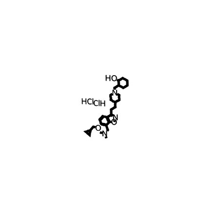 CN(C)Cc1c(OCC2CC2)ccc2c(CCC3CCN(CC4CCCCC4O)CC3)noc12.Cl.Cl